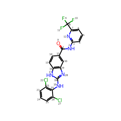 O=C(Nc1cccc(C(F)(F)F)n1)c1ccc2[nH]c(Nc3c(Cl)cccc3Cl)nc2c1